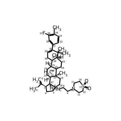 C=C(C)[C@@H]1CC[C@]2(NCCN3CCS(=O)(=O)CC3)CC[C@]3(C)[C@H](CC[C@@H]4[C@@]5(C)CC=C(c6ccc(C)c(F)c6)C(C)(C)[C@@H]5CC[C@]43C)[C@@H]12